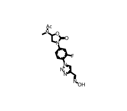 CC(=O)N(C)C1CN(c2ccc(-n3cc(C=NO)nn3)c(F)c2)C(=O)O1